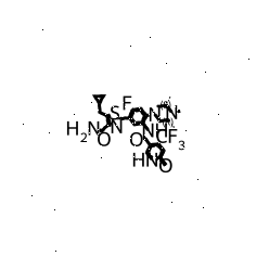 C[C@@H]1CN(c2cc(F)c(-c3nc(C(N)=O)c(CC4CC4)s3)cc2NC(=O)c2c[nH]c(=O)cc2C(F)(F)F)C[C@H](C)N1C